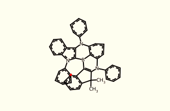 CC1(C)C2=C(B3c4c(cccc4N(c4ccccc4)c4c3n(-c3ccccc3)c3ccccc43)N2c2ccccc2)c2ccccc21